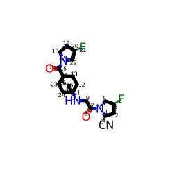 N#C[C@@H]1C[C@H](F)CN1C(=O)CNC12CCC(C(=O)N3CC[C@@H](F)C3)(CC1)CC2